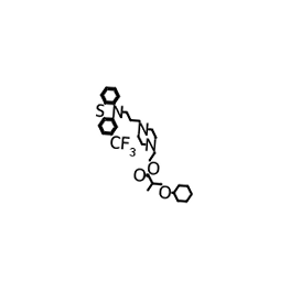 CC(COC1CCCCC1)C(=O)OCCN1CCN(CCCN2c3ccccc3Sc3ccc(C(F)(F)F)cc32)CC1